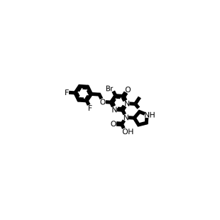 CC(C)n1c(N(C(=O)O)C2CCNC2)nc(OCc2ccc(F)cc2F)c(Br)c1=O